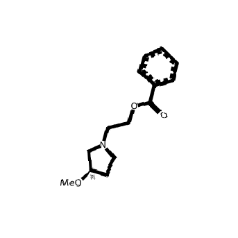 CO[C@@H]1CCN(CCOC(=O)c2ccccc2)C1